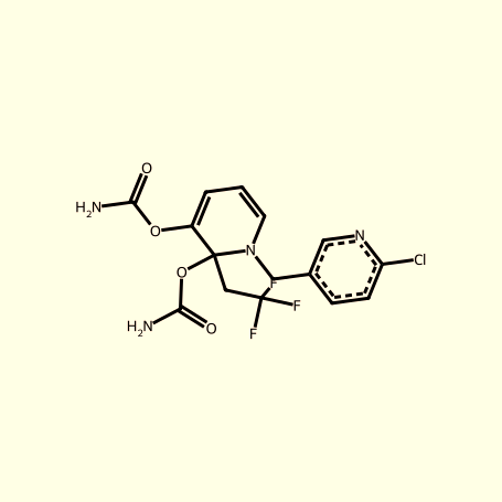 NC(=O)OC1=CC=CN(Cc2ccc(Cl)nc2)C1(CC(F)(F)F)OC(N)=O